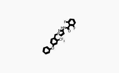 O=C(Nc1ccn(Cc2ccc(Oc3ccccc3)cc2C(F)(F)F)n1)c1c(F)cccc1F